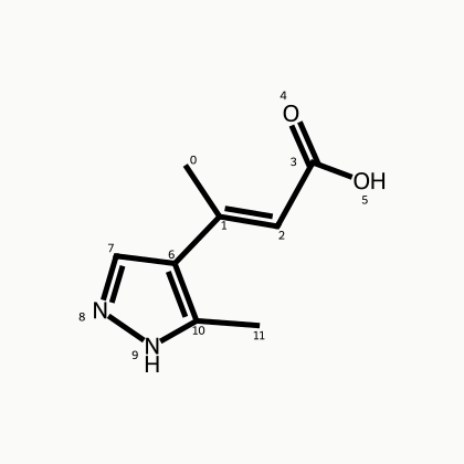 C/C(=C\C(=O)O)c1cn[nH]c1C